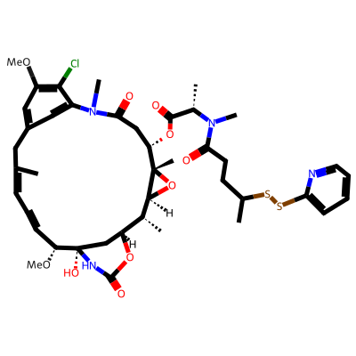 COc1cc2cc(c1Cl)N(C)C(=O)C[C@H](OC(=O)[C@H](C)N(C)C(=O)CCC(C)SSc1ccccn1)[C@]1(C)O[C@H]1[C@H](C)[C@@H]1C[C@@](O)(NC(=O)O1)[C@H](OC)/C=C/C=C(\C)C2